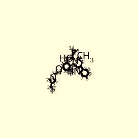 C[C@@H]1Cc2c([nH]c3ccccc23)[C@@H](c2c(F)cc(OCCN3CC(CF)C3)cc2F)N1C(O)C1CC1